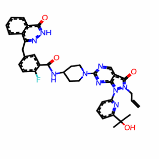 C=CCn1c(=O)c2cnc(N3CCC(NC(=O)c4cc(Cc5n[nH]c(=O)c6ccccc56)ccc4F)CC3)nc2n1-c1cccc(C(C)(C)O)n1